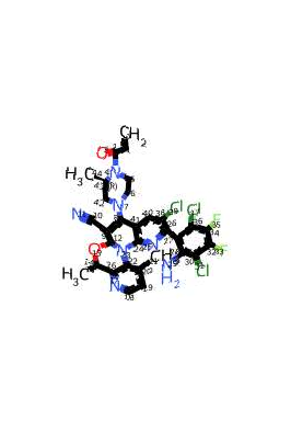 C=CC(=O)N1CCN(C2=C(C#N)C3OC(C)c4nccc(C)c4N3c3nc(-c4c(N)c(Cl)c(F)c(F)c4Cl)c(Cl)cc32)C[C@H]1C